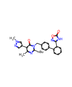 CCCCc1nc(C)c(-c2cnn(C)c2)c(=O)n1Cc1ccc(-c2ccccc2-c2noc(=O)[nH]2)cc1